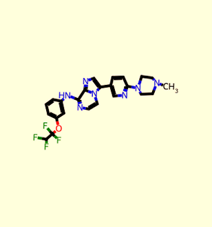 CN1CCN(c2ccc(-c3cnc4c(Nc5cccc(OC(F)(F)C(F)F)c5)nccn34)cn2)CC1